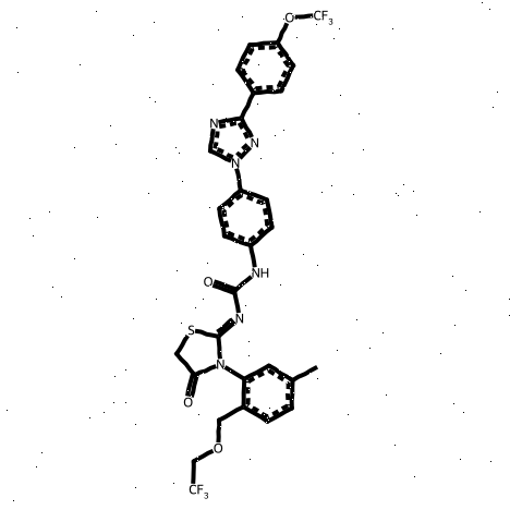 Cc1ccc(COCC(F)(F)F)c(N2C(=O)CS/C2=N\C(=O)Nc2ccc(-n3cnc(-c4ccc(OC(F)(F)F)cc4)n3)cc2)c1